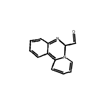 O=CC1N=c2ccccc2=C2C=CC=CN21